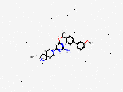 CCOc1cccc(-c2ccc([C@@H](Oc3cc(N4CCC5(CC4)CN[C@H](C(=O)O)C5)nc(N)n3)C(F)(F)F)cc2)c1